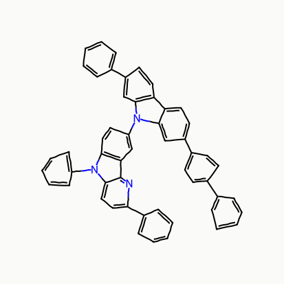 c1ccc(-c2ccc(-c3ccc4c5ccc(-c6ccccc6)cc5n(-c5ccc6c(c5)c5nc(-c7ccccc7)ccc5n6-c5ccccc5)c4c3)cc2)cc1